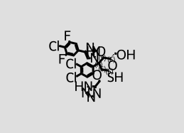 OC[C@@H]1O[C@@H](S)[C@@H](OCc2nnn[nH]2)[C@](c2ccc(Cl)c(Cl)c2)(n2cc(-c3cc(F)c(Cl)c(F)c3)nn2)[C@@H]1O